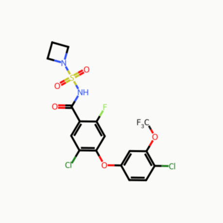 O=C(NS(=O)(=O)N1CCC1)c1cc(Cl)c(Oc2ccc(Cl)c(OC(F)(F)F)c2)cc1F